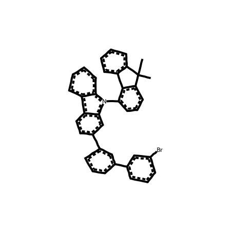 CC1(C)c2ccccc2-c2c(-n3c4ccccc4c4ccc(-c5cccc(-c6cccc(Br)c6)c5)cc43)cccc21